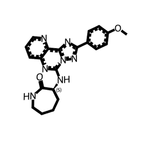 COc1ccc(-c2nc3c4ncccc4nc(N[C@H]4CCCCNC4=O)n3n2)cc1